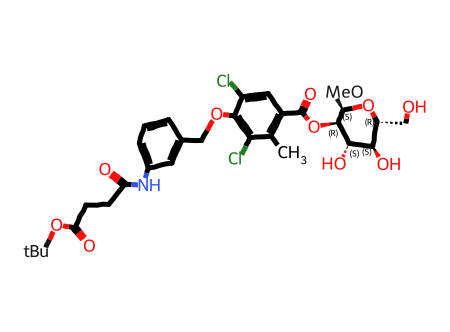 CO[C@H]1O[C@H](CO)[C@@H](O)[C@H](O)[C@H]1OC(=O)c1cc(Cl)c(OCc2cccc(NC(=O)CCC(=O)OC(C)(C)C)c2)c(Cl)c1C